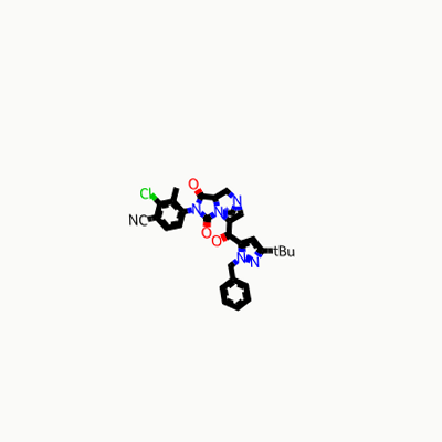 Cc1c(N2C(=O)C3CN4CC(C(=O)c5cc(C(C)(C)C)nn5Cc5ccccc5)[N+]3(C4)C2=O)ccc(C#N)c1Cl